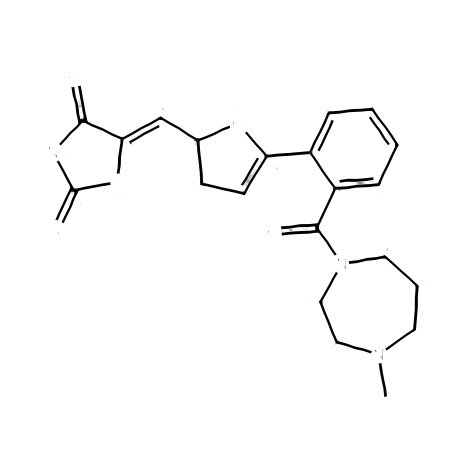 CN1CCCN(C(=O)c2ccccc2C2=CCC(/C=C3\SC(=S)NC3=O)O2)CC1